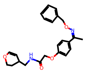 CC(=NOCc1ccccc1)c1ccc(OCC(=O)NCC2C=COCC2)cc1